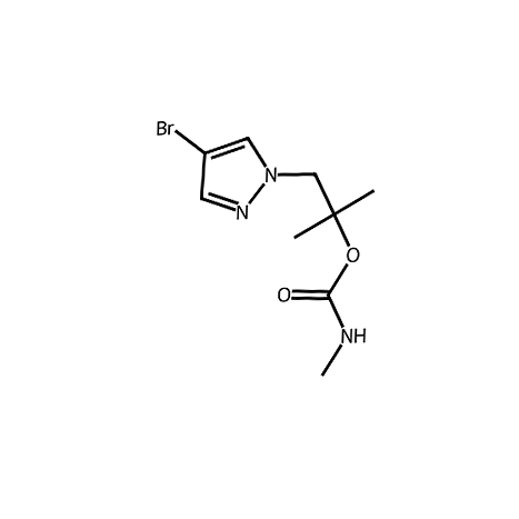 CNC(=O)OC(C)(C)Cn1cc(Br)cn1